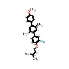 COc1ccc(-c2cc(C)c(-c3ccc(OCC=C(C)C)c(F)c3)cc2C)cc1